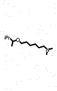 CC(C)C(C)OCCCCCCN(C)C